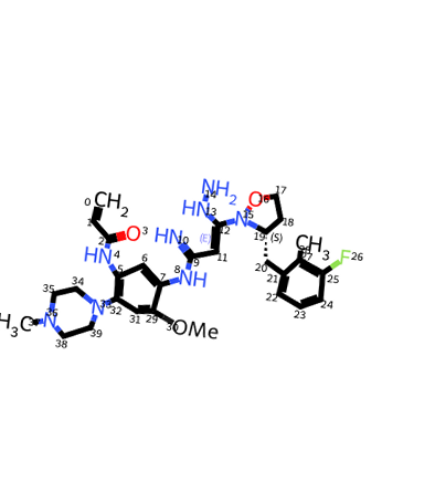 C=CC(=O)Nc1cc(NC(=N)/C=C(\NN)N2OCC[C@@H]2Cc2cccc(F)c2C)c(OC)cc1N1CCN(C)CC1